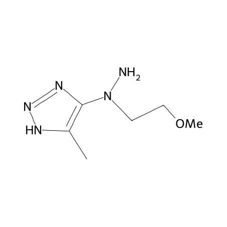 COCCN(N)c1nn[nH]c1C